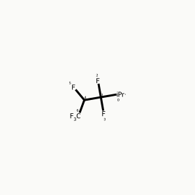 C[C](C)C(F)(F)C(F)C(F)(F)F